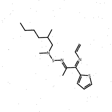 C=C/N=C(\C(C)=N\SN(C)CC(C)CCCC)c1cccs1